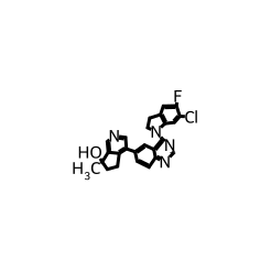 CC1(O)CCc2c(-c3ccc4ncnc(N5CCc6cc(F)c(Cl)cc65)c4c3)cncc21